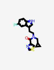 O=C(c1cscn1)N(CCc1c[nH]c2ccc(F)cc12)CC1CC1